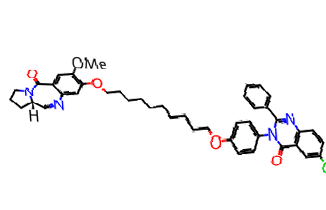 COc1cc2c(cc1OCCCCCCCCCCOc1ccc(-n3c(-c4ccccc4)nc4ccc(Cl)cc4c3=O)cc1)N=C[C@@H]1CCCN1C2=O